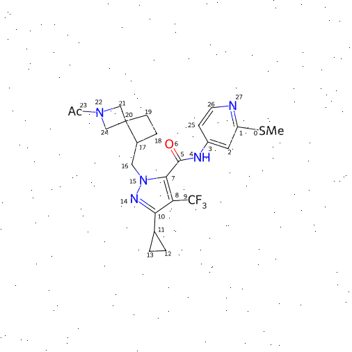 CSc1cc(NC(=O)c2c(C(F)(F)F)c(C3CC3)nn2CC2CCC23CN(C(C)=O)C3)ccn1